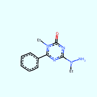 CCN(N)c1nc(-c2ccccc2)n(CC)c(=O)n1